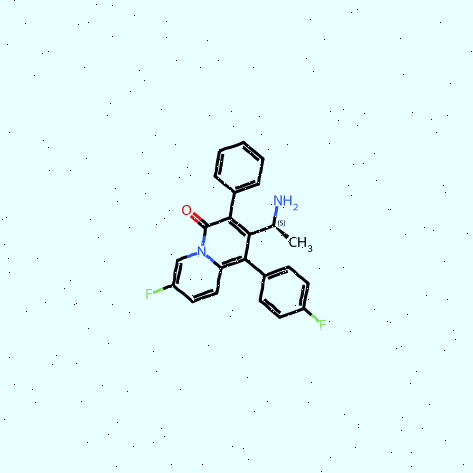 C[C@H](N)c1c(-c2ccccc2)c(=O)n2cc(F)ccc2c1-c1ccc(F)cc1